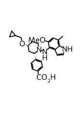 COc1cc(C)c2[nH]ccc2c1NN1CC[C@@H](OCC2CC2)C[C@H]1c1ccc(C(=O)O)cc1